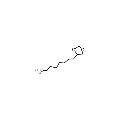 CCCCCCCCC1COCO1